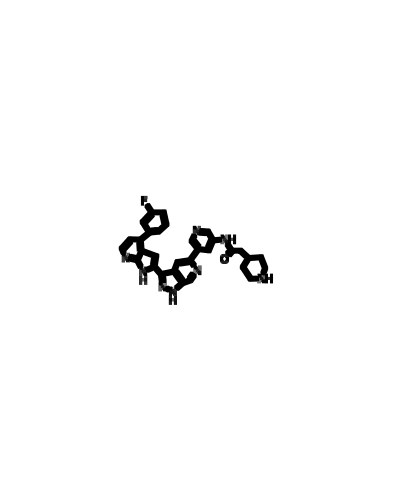 O=C(CC1CCNCC1)Nc1cncc(-c2cc3c(-c4cc5c(-c6cccc(F)c6)ccnc5[nH]4)n[nH]c3cn2)c1